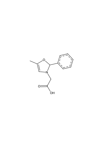 CC1=CN(CC(=O)O)C(c2ccccc2)O1